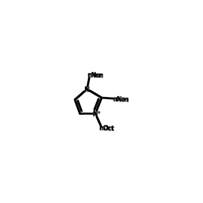 CCCCCCCCCc1n(CCCCCCCCC)cc[n+]1CCCCCCCC